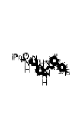 CC(C)CC(=O)Nc1cncc(-c2ccc3[nH]nc(-c4cc5c(-c6ccc(F)cc6)cccc5[nH]4)c3n2)c1